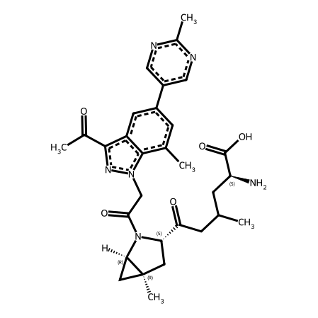 CC(=O)c1nn(CC(=O)N2[C@H](C(=O)CC(C)C[C@H](N)C(=O)O)C[C@@]3(C)C[C@@H]23)c2c(C)cc(-c3cnc(C)nc3)cc12